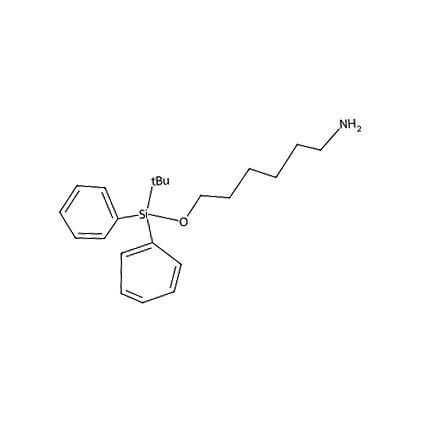 CC(C)(C)[Si](OCCCCCCN)(c1ccccc1)c1ccccc1